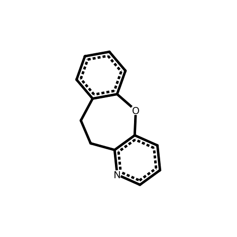 c1ccc2c(c1)CCc1ncccc1O2